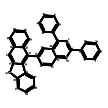 c1ccc(-c2nc(-c3ccccc3)c3cc(-c4c5ccccc5cc5oc6ccccc6c45)ccc3n2)cc1